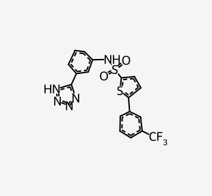 O=S(=O)(Nc1cccc(-c2nnn[nH]2)c1)c1ccc(-c2cccc(C(F)(F)F)c2)s1